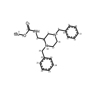 CC(C)(C)OC(=O)NCC1CN(Cc2ccccc2)CCN1Cc1ccccc1